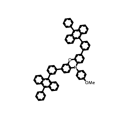 COc1ccc(N2c3ccc(-c4cccc(-c5c6ccccc6c(-c6ccccc6)c6ccccc56)c4)cc3Oc3cc(-c4cccc(-c5c6ccccc6c(-c6ccccc6)c6ccccc56)c4)ccc32)cc1